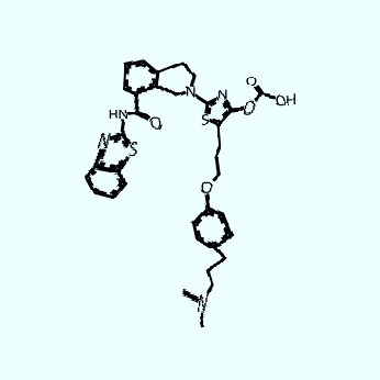 CN(C)CCCc1ccc(OCCCc2sc(N3CCc4cccc(C(=O)Nc5nc6ccccc6s5)c4C3)nc2OC(=O)O)cc1